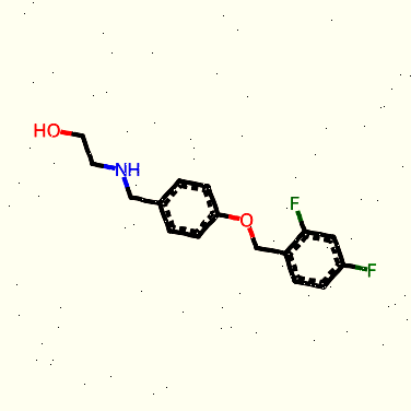 OCCNCc1ccc(OCc2ccc(F)cc2F)cc1